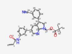 C=CC(=O)Nc1cccc(-c2cnc3c(c2)c(-c2cccc(C#N)c2)cn3COC(=O)C(C)(C)C)c1